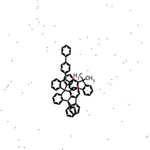 CC1(C)c2ccccc2-c2ccc(N(c3ccc(-c4ccccc4)cc3)c3ccccc3C3(c4ccccc4)c4ccccc4C4(c5ccccc5)c5ccccc5-c5cccc3c54)cc21